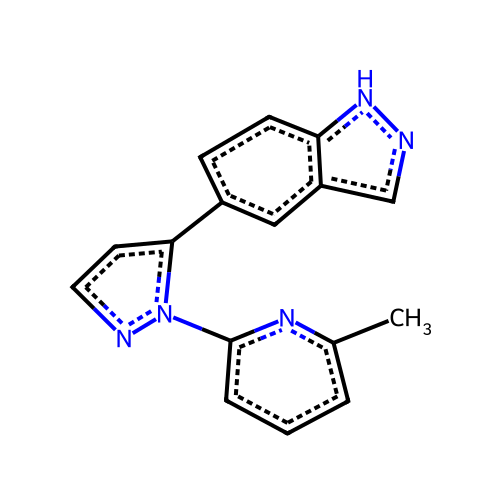 Cc1cccc(-n2nccc2-c2ccc3[nH]ncc3c2)n1